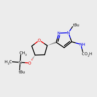 CC(C)(C)n1nc([C@@H]2C[C@H](O[Si](C)(C)C(C)(C)C)CO2)cc1NC(=O)O